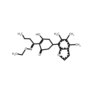 CCCC(=NOCC)C1=C(O)CC(c2c(C)c(C)c(C)c3ccoc23)CC1=O